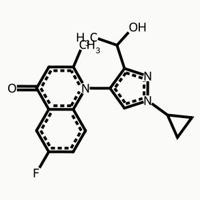 Cc1cc(=O)c2cc(F)ccc2n1-c1cn(C2CC2)nc1C(C)O